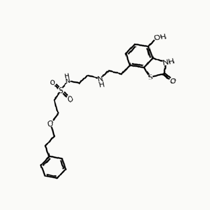 O=c1[nH]c2c(O)ccc(CCNCCNS(=O)(=O)CCOCCc3ccccc3)c2s1